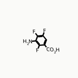 Nc1c(F)c(F)cc(C(=O)O)c1F